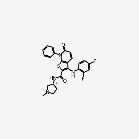 CN1CC[C@H](NC(=O)c2sc3c(ccc(=O)n3-c3ccccc3)c2Nc2ccc(F)cc2F)C1